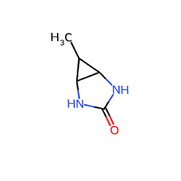 CC1C2NC(=O)NC12